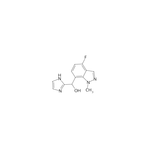 Cn1ncc2c(F)ccc(C(O)c3ncc[nH]3)c21